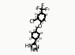 FC(F)(F)c1ccc(OCc2ccc(-c3nnn[nH]3)cc2)c(Cl)c1